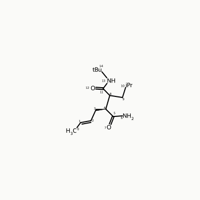 C/C=C/C[C@H](C(N)=O)C(CC(C)C)C(=O)NC(C)(C)C